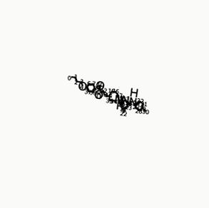 CCCCOc1ccc(S(=O)(=O)CCC2CCCN(c3nc(C)cc(Nc4ccc(C)cc4)n3)CC2)cc1